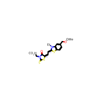 CCN1/C(=C/C=C2/SC(=S)N(CC(=O)O)C2=O)Sc2ccc(COOC)cc21